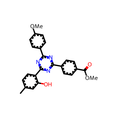 COC(=O)c1ccc(-c2nc(-c3ccc(OC)cc3)nc(-c3ccc(C)cc3O)n2)cc1